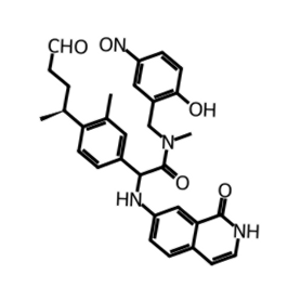 Cc1cc(C(Nc2ccc3cc[nH]c(=O)c3c2)C(=O)N(C)Cc2cc(N=O)ccc2O)ccc1[C@@H](C)CCC=O